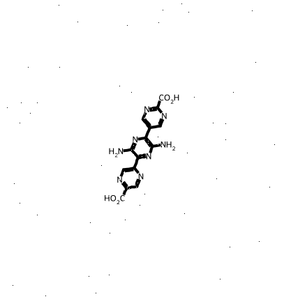 Nc1nc(-c2cnc(C(=O)O)cn2)c(N)nc1-c1cnc(C(=O)O)nc1